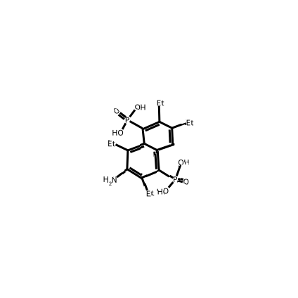 CCc1cc2c(P(=O)(O)O)c(CC)c(N)c(CC)c2c(P(=O)(O)O)c1CC